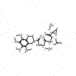 COc1c2c(c(N(C)C)c(OC)c1OC)C[C@H](C(=O)N[C@@H](CO)C(=O)N[C@@H](CC(C)C)C(=O)[C@@]1(CO)CO1)CC2